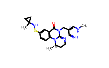 CN/C=C(\C=N)CN1C(=O)c2cc(SNC3(C)CC3)ccc2N2C1=NCC[C@@H]2C